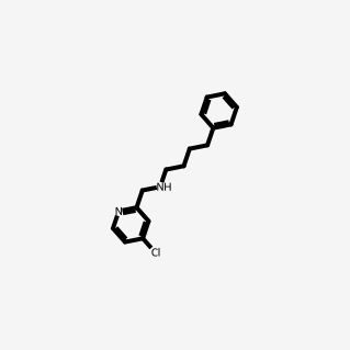 Clc1ccnc(CNCCCCc2ccccc2)c1